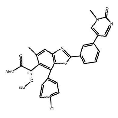 COC(=O)[C@@H](OC(C)(C)C)c1c(C)cc2nc(-c3cccc(-c4cnc(=O)n(C)c4)c3)sc2c1-c1ccc(Cl)cc1